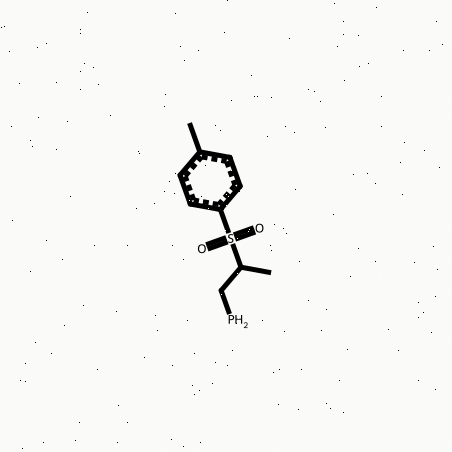 Cc1ccc(S(=O)(=O)C(C)CP)cc1